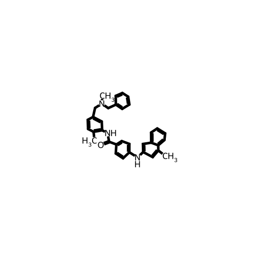 Cc1ccc(CN(C)Cc2ccccc2)cc1NC(=O)c1ccc(Nc2cc(C)c3ccccc3c2)cc1